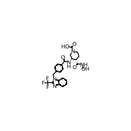 O=C(N[C@@H]1CN(C(=O)O)CC[C@@H]1C(=O)NO)c1ccc(Cn2c(C(F)(F)F)nc3ccccc32)cc1